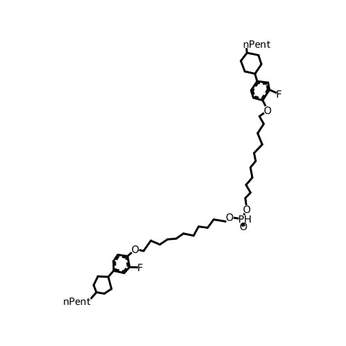 CCCCCC1CCC(c2ccc(OCCCCCCCCCCCO[PH](=O)OCCCCCCCCCCCOc3ccc(C4CCC(CCCCC)CC4)cc3F)c(F)c2)CC1